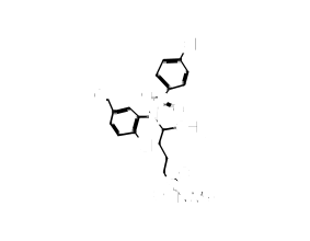 CNS(=O)(=O)CCCC(C)N(c1cc(Cl)ccc1Cl)S(=O)(=O)c1ccc(Cl)cc1